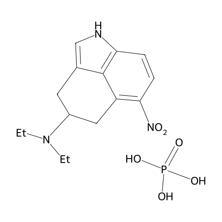 CCN(CC)C1Cc2c[nH]c3ccc([N+](=O)[O-])c(c23)C1.O=P(O)(O)O